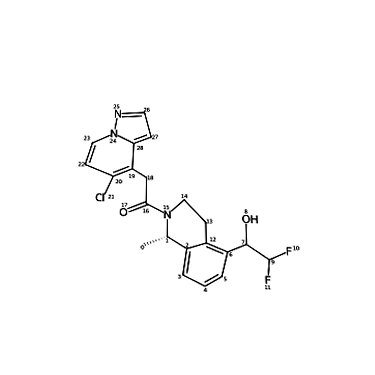 C[C@H]1c2cccc(C(O)C(F)F)c2CCN1C(=O)Cc1c(Cl)ccn2nccc12